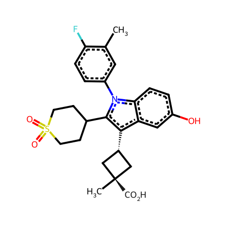 Cc1cc(-n2c(C3CCS(=O)(=O)CC3)c([C@H]3C[C@](C)(C(=O)O)C3)c3cc(O)ccc32)ccc1F